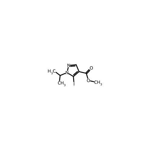 COC(=O)c1cnn(C(C)C)c1I